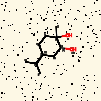 CC(C)[C@H]1CCC(C)(O)[C@H](O)C1